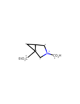 CCOC(=O)C12CC1CN(C(=O)O)C2